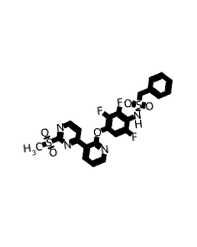 CS(=O)(=O)c1nccc(-c2cccnc2Oc2cc(F)c(NS(=O)(=O)Cc3ccccc3)c(F)c2F)n1